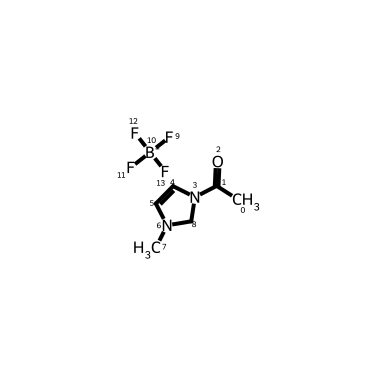 CC(=O)N1C=CN(C)C1.F[B-](F)(F)F